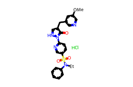 CCN(c1ccccc1)S(=O)(=O)c1ccc(-n2[nH]cc(Cc3cncc(OC)c3)c2=O)nc1.Cl